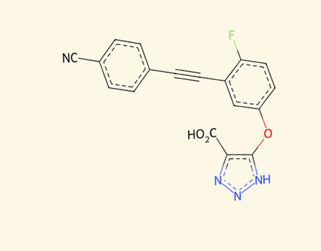 N#Cc1ccc(C#Cc2cc(Oc3[nH]nnc3C(=O)O)ccc2F)cc1